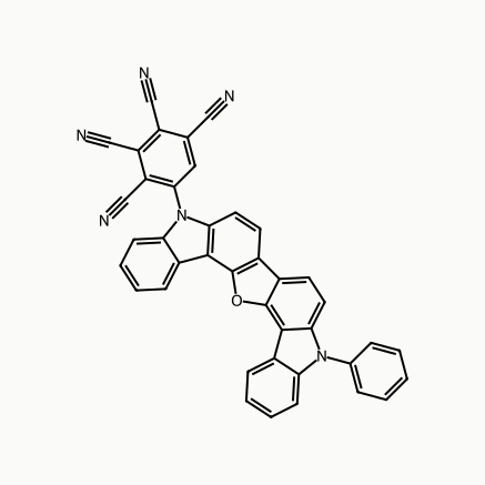 N#Cc1cc(-n2c3ccccc3c3c4oc5c(ccc6c5c5ccccc5n6-c5ccccc5)c4ccc32)c(C#N)c(C#N)c1C#N